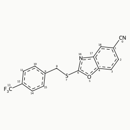 N#Cc1ccc2oc(SCc3ccc(C(F)(F)F)cc3)nc2c1